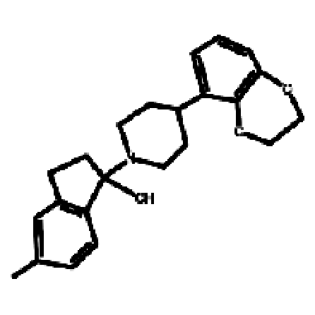 Cc1ccc2c(c1)CCC2(O)N1CCC(c2cccc3c2OCCO3)CC1